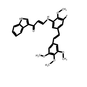 COc1cc(C=Cc2cc(F)c(OC)c(NC=CC(=O)c3c[nH]c4ccccc34)c2)cc(OC)c1OC